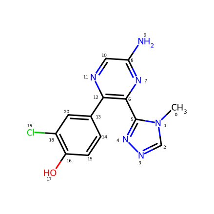 Cn1cnnc1-c1nc(N)cnc1-c1ccc(O)c(Cl)c1